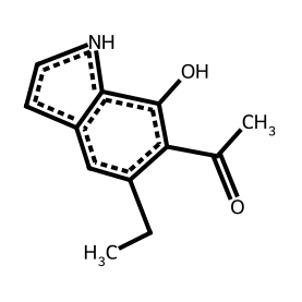 CCc1cc2cc[nH]c2c(O)c1C(C)=O